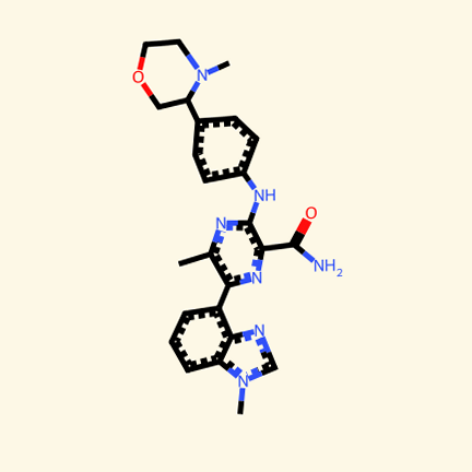 Cc1nc(Nc2ccc(C3COCCN3C)cc2)c(C(N)=O)nc1-c1cccc2c1ncn2C